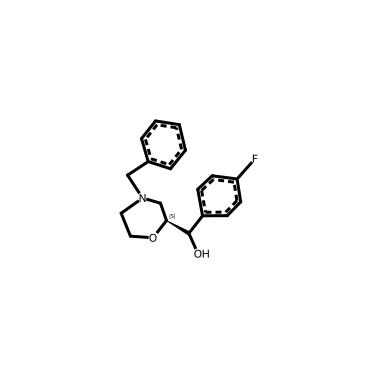 OC(c1ccc(F)cc1)[C@@H]1CN(Cc2ccccc2)CCO1